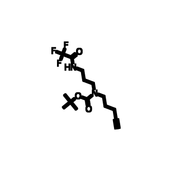 C#CCCCN(CCCNC(=O)C(F)(F)F)C(=O)OC(C)(C)C